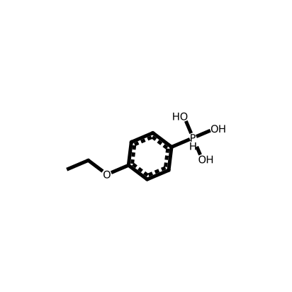 CCOc1ccc([PH](O)(O)O)cc1